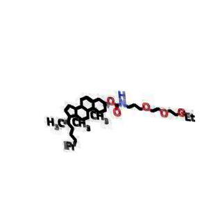 CCOCCOCCOCCCNC(=O)O[C@@H]1CC[C@]2(C)C(=CCC3C4CCC([C@@H](C)CCCC(C)C)[C@]4(C)CCC32)C1